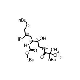 CCCCOC[C@@H](C[C@H](NC(=O)OC(C)(C)C)[C@@H](O)CNC(=O)C(C)(C)CCCC)C(C)C